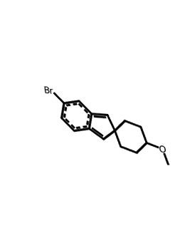 COC1CCC2(C=c3ccc(Br)cc3=C2)CC1